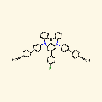 C#Cc1ccc(-c2ccc(N3c4ccccc4B4c5ccccc5N(c5ccc(-c6ccc(C#C)cc6)cc5)c5cc(-c6ccc(F)cc6)cc3c54)cc2)cc1